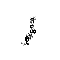 CS(=O)(=O)N1CCN(c2ccc(N3CCN(OC(=O)NC4[C@@H]5CC6C[C@H]4CC(C(N)=O)(C6)C5)c4ccccc43)nc2)CC1